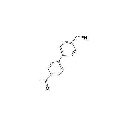 CC(=O)c1ccc(-c2ccc(CS)cc2)cc1